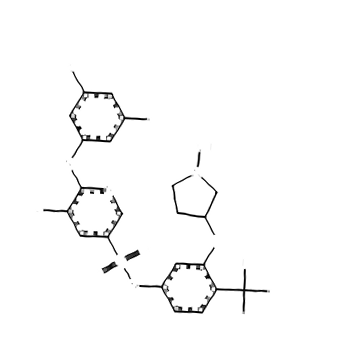 CN1CCC(Oc2cc(NS(=O)(=O)c3cnc(Nc4cc(Cl)cc(Cl)c4)c(Br)c3)ccc2C(F)(F)F)C1